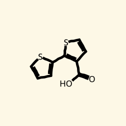 O=C(O)c1ccsc1-c1cccs1